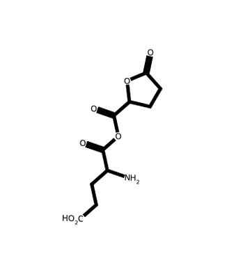 NC(CCC(=O)O)C(=O)OC(=O)C1CCC(=O)O1